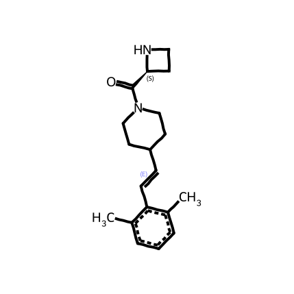 Cc1cccc(C)c1/C=C/C1CCN(C(=O)[C@@H]2CCN2)CC1